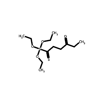 CCO[Si](OCC)(OCC)C(=S)CCC(=O)CC